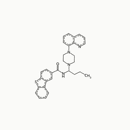 CCCC(NC(=O)c1ccc2sc3ccccc3c2c1)N1CCN(c2cccc3cccnc23)CC1